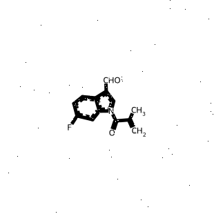 C=C(C)C(=O)n1cc(C=O)c2ccc(F)cc21